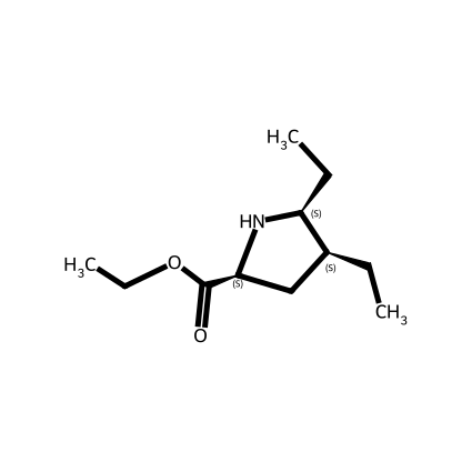 CCOC(=O)[C@@H]1C[C@H](CC)[C@H](CC)N1